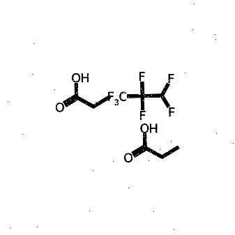 CCC(=O)O.CCC(=O)O.FC(F)C(F)(F)C(F)(F)F